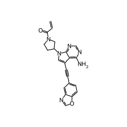 C=CC(=O)N1CCC(n2cc(C#Cc3ccc4ocnc4c3)c3c(N)ncnc32)C1